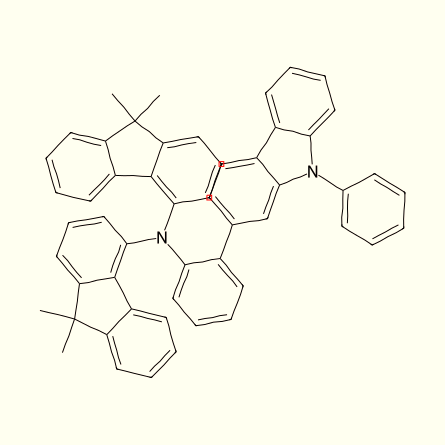 CC1(C)c2ccccc2-c2c(N(c3ccccc3-c3ccc4c5ccccc5n(-c5ccccc5)c4c3)c3cccc4c3-c3ccccc3C4(C)C)cccc21